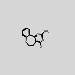 Nc1nc(Cl)c2c(n1)-c1ccccc1SCC2